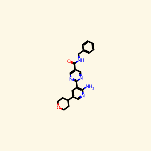 Nc1ncc(C2CCOCC2)cc1-c1ncc(C(=O)NCc2ccccc2)cn1